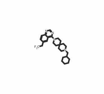 FC(F)(F)Cc1ccc2ncnc(N3CCC4(CCN(CC5CCCCC5)CC4)CC3)c2c1